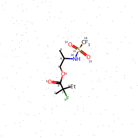 CCC(C)(F)C(=O)OCC(C)NS(=O)(=O)C(F)(F)F